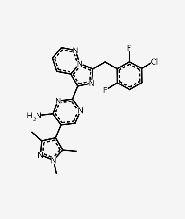 Cc1nn(C)c(C)c1-c1cnc(-c2nc(Cc3c(F)ccc(Cl)c3F)n3ncccc23)nc1N